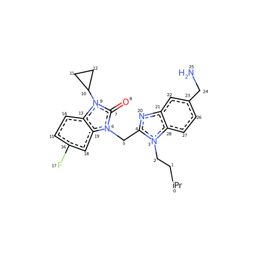 CC(C)CCn1c(Cn2c(=O)n(C3CC3)c3ccc(F)cc32)nc2cc(CN)ccc21